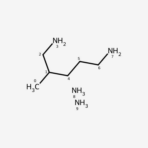 CC(CN)CCCN.N.N